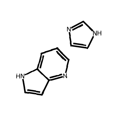 c1c[nH]cn1.c1cnc2cc[nH]c2c1